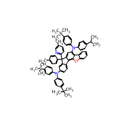 Cc1ccc(C2(c3ccc(C)cn3)c3cc(N(c4ccc(C(C)(C)C)cc4)c4ccc([Si](C)(C)C)cc4)ccc3-c3c2cc(N(c2ccc(C(C)C)cc2)c2ccc([Si](C)(C)C)cc2)c2c3oc3ccccc32)cc1